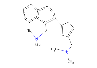 CN(C)CC1=CCC(c2ccc3ccccc3c2C[N]([Ti])C(C)(C)C)=C1